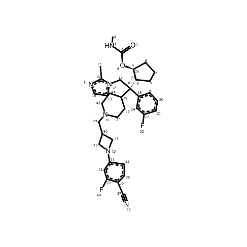 CNC(=O)O[C@H]1CCC[C@@H]1C(Cn1ccnc1C)(c1cccc(F)c1)C1CCN(CC2CN(c3ccc(C#N)c(F)c3)C2)CC1